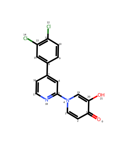 O=c1ccn(-c2cc(-c3ccc(Cl)c(Cl)c3)ccn2)cc1O